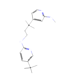 CNc1cc(C(C)(C)CCNc2ccc(C(C)(C)C)cn2)ccn1